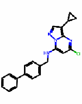 Clc1cc(NCc2ccc(-c3ccccc3)cc2)n2ncc(C3CC3)c2n1